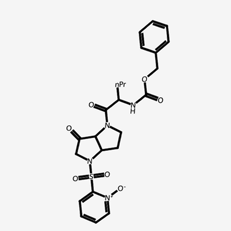 CCCC(NC(=O)OCc1ccccc1)C(=O)N1CCC2C1C(=O)CN2S(=O)(=O)c1cccc[n+]1[O-]